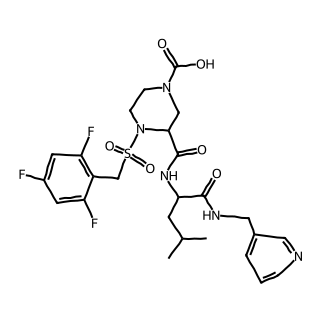 CC(C)CC(NC(=O)C1CN(C(=O)O)CCN1S(=O)(=O)Cc1c(F)cc(F)cc1F)C(=O)NCc1cccnc1